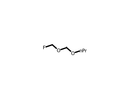 CCCO[CH]OCF